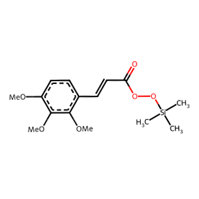 COc1ccc(/C=C/C(=O)OO[Si](C)(C)C)c(OC)c1OC